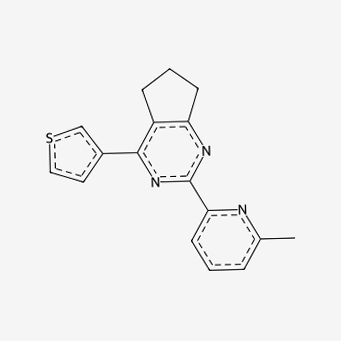 Cc1cccc(-c2nc3c(c(-c4ccsc4)n2)CCC3)n1